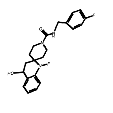 O=C(NCc1ccc(F)cc1)N1CCC2(CC1)CC(O)c1ccccc1N2F